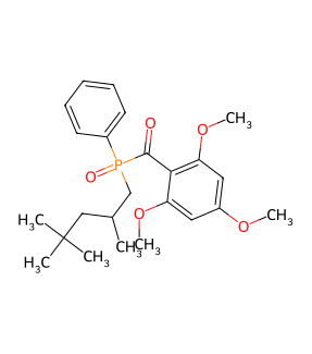 COc1cc(OC)c(C(=O)P(=O)(CC(C)CC(C)(C)C)c2ccccc2)c(OC)c1